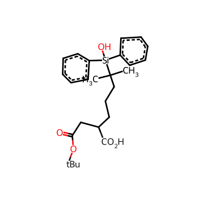 CC(C)(C)OC(=O)CC(CCCC(C)(C)[Si](O)(c1ccccc1)c1ccccc1)C(=O)O